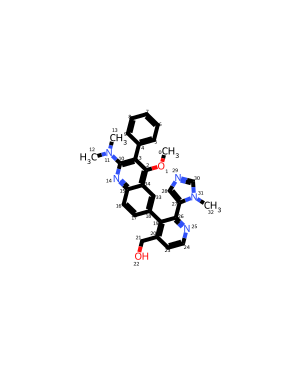 COc1c(-c2ccccc2)c(N(C)C)nc2ccc(-c3c(CO)ccnc3-c3cncn3C)cc12